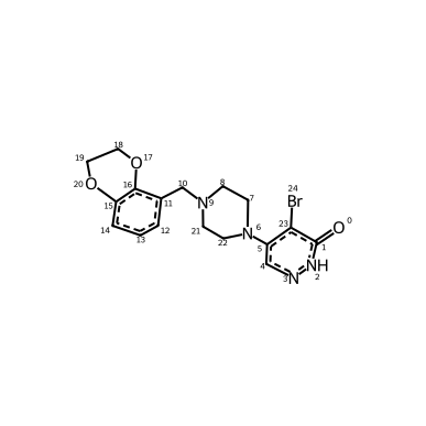 O=c1[nH]ncc(N2CCN(Cc3cccc4c3OCCO4)CC2)c1Br